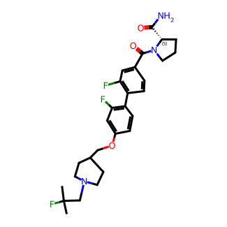 CC(C)(F)CN1CCC(COc2ccc(-c3ccc(C(=O)N4CCC[C@H]4C(N)=O)cc3F)c(F)c2)CC1